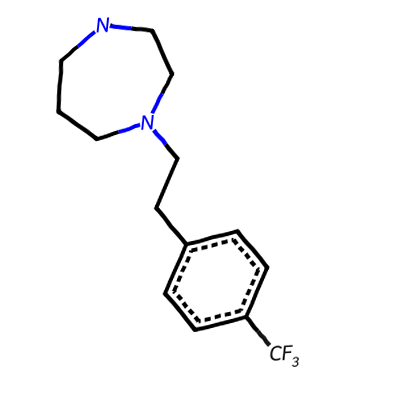 FC(F)(F)c1ccc(CCN2CCC[N]CC2)cc1